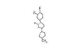 CC1CCC(C2CCC(C3CCC(F)C(F)C3)C(F)C2)CC1